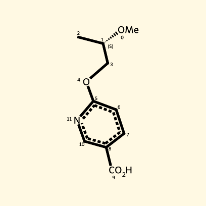 CO[C@@H](C)COc1ccc(C(=O)O)cn1